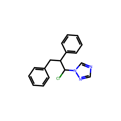 ClC(C(Cc1ccccc1)c1ccccc1)n1cncn1